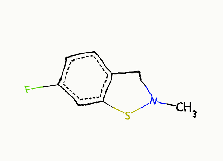 CN1Cc2ccc(F)cc2S1